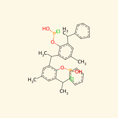 Cc1cc(C(C)c2ccccc2)c(OP(O)Cl)c(C(C)c2cc(C)cc(C(C)c3ccccc3)c2OP(O)Cl)c1